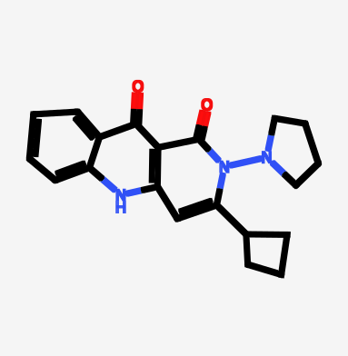 O=c1c2ccccc2[nH]c2cc(C3CCC3)n(N3CCCC3)c(=O)c12